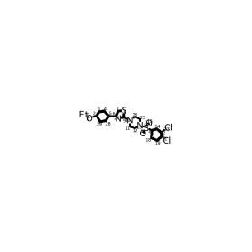 CCOc1ccc(-c2csc(N3CCN(S(=O)(=O)c4ccc(Cl)c(Cl)c4)CC3)n2)cc1